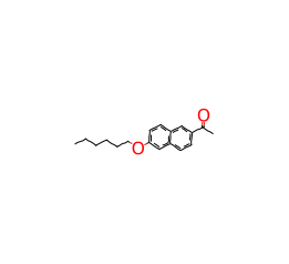 CCCCCCOc1ccc2cc(C(C)=O)ccc2c1